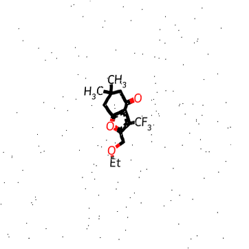 CCOCc1oc2c(c1C(F)(F)F)C(=O)CC(C)(C)C2